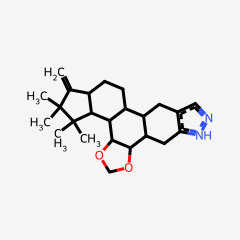 C=C1C2CCC3C4Cc5cn[nH]c5CC4C4OCOC4C3C2C(C)(C)C1(C)C